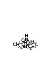 N=C(NC(=O)c1cc(Cl)ccc1Cl)Nc1cccc2ccccc12